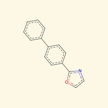 [c]1ccc(-c2ccc(-c3ncco3)cc2)cc1